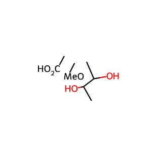 CC(=O)O.CC(O)C(C)O.COC